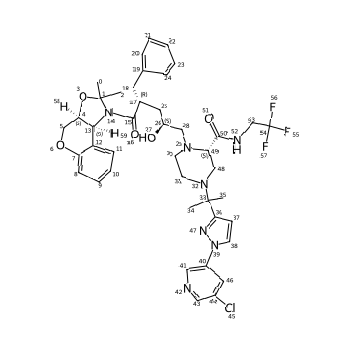 CC1(C)O[C@@H]2COc3ccccc3[C@@H]2N1C(=O)[C@H](Cc1ccccc1)C[C@H](O)CN1CCN(C(C)(C)c2ccn(-c3cncc(Cl)c3)n2)C[C@H]1C(=O)NCC(F)(F)F